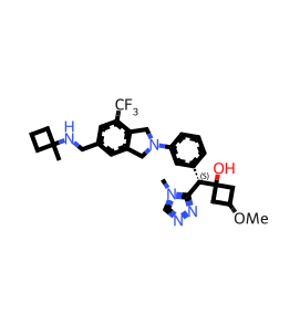 COC1CC(O)([C@@H](c2cccc(N3Cc4cc(CNC5(C)CCC5)cc(C(F)(F)F)c4C3)c2)c2nncn2C)C1